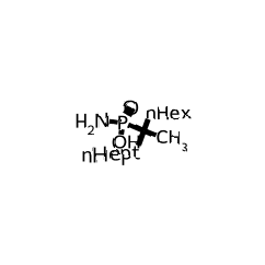 CCCCCCCC(C)(CCCCCC)P(N)(=O)O